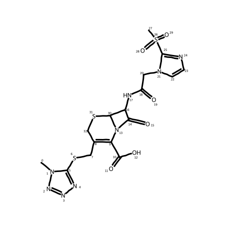 Cn1nnnc1SCC1=C(C(=O)O)N2C(=O)C(NC(=O)Cn3ccnc3S(C)(=O)=O)C2SC1